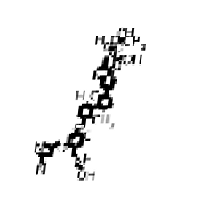 Cc1c(COc2cc(OCc3cncc(C#N)c3)c(CNCCO)cc2Cl)cccc1-c1cccc(-c2ccn3c(=O)c(CN(CCO)C(=O)OC(C)(C)C)cnc3c2)c1C